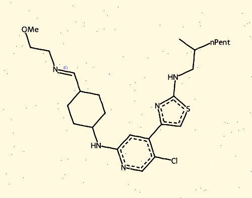 CCCCCC(C)CNc1nc(-c2cc(NC3CCC(/C=N/CCOC)CC3)ncc2Cl)cs1